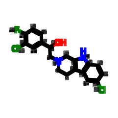 OC(CN1CCc2c([nH]c3ccc(Cl)cc23)C1)c1ccc(F)c(Cl)c1